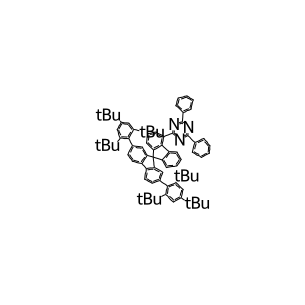 CC(C)(C)c1cc(C(C)(C)C)c(-c2ccc3c(c2)C2(c4cc(-c5c(C(C)(C)C)cc(C(C)(C)C)cc5C(C)(C)C)ccc4-3)c3ccccc3-c3c(-c4nc(-c5ccccc5)nc(-c5ccccc5)n4)cccc32)c(C(C)(C)C)c1